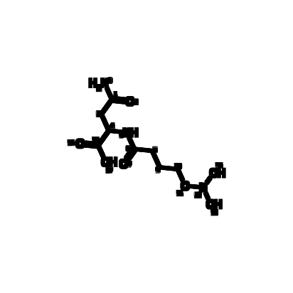 NC(=O)CC(NC(=O)CCCON(O)O)C(=O)O